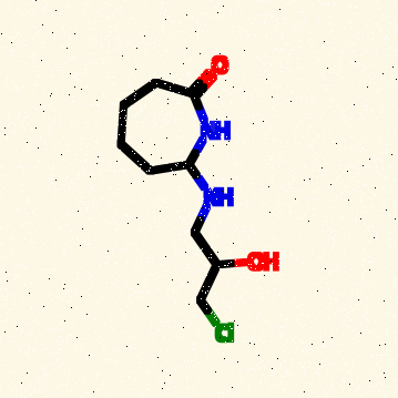 O=C1CCCCC(NCC(O)CCl)N1